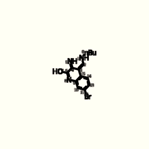 CCCCN/C=C1\C(=N)C(O)=Nc2cc(Br)ccc21